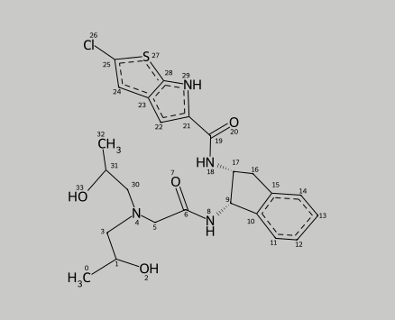 CC(O)CN(CC(=O)N[C@H]1c2ccccc2C[C@H]1NC(=O)c1cc2cc(Cl)sc2[nH]1)CC(C)O